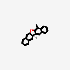 Cc1c2c(cc3ccccc13)[C@H]1C=c3ccccc3=CC1O2